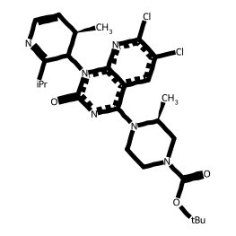 CC(C)C1=NC=C[C@@H](C)C1n1c(=O)nc(N2CCN(C(=O)OC(C)(C)C)C[C@@H]2C)c2cc(Cl)c(Cl)nc21